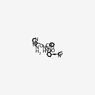 C[C@@H](NCOCc1c(N)nn2cccnc12)c1nc2cccc(C#Cc3cscn3)c2c(=O)n1-c1ccccc1